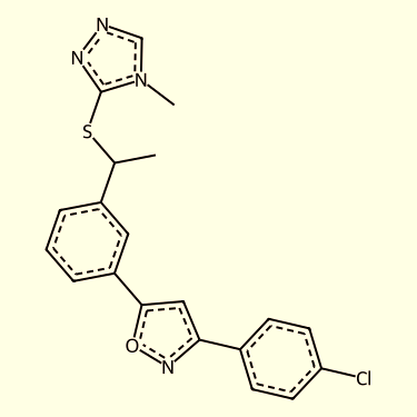 CC(Sc1nncn1C)c1cccc(-c2cc(-c3ccc(Cl)cc3)no2)c1